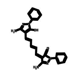 NC1=NN(c2ccccc2)C(=O)C1=CC=CC=Cc1c(N)nn(-c2ccccc2)c1O